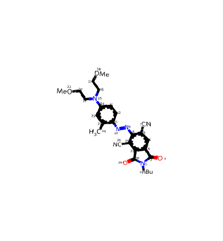 CCCCN1C(=O)c2cc(C#N)c(N=Nc3ccc(N(CCOC)CCOC)cc3C)c(C#N)c2C1=O